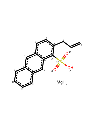 C=CCc1ccc2cc3ccccc3cc2c1S(=O)(=O)O.[MgH2]